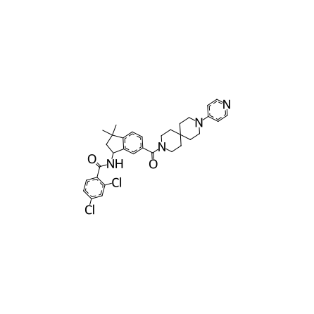 CC1(C)CC(NC(=O)c2ccc(Cl)cc2Cl)c2cc(C(=O)N3CCC4(CC3)CCN(c3ccncc3)CC4)ccc21